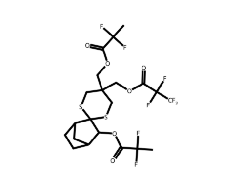 CC(F)(F)C(=O)OCC1(COC(=O)C(F)(F)C(F)(F)F)CSC2(SC1)C1CCC(C1)C2OC(=O)C(C)(F)F